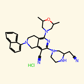 CC1CN(c2nc(N3CCNC(CC#N)C3)c(C#N)c3c2CCN(c2cccc4ccccc24)C3)CC(C)O1.Cl